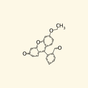 CCOc1ccc2c(-c3ccccc3C=O)c3ccc(=O)cc-3oc2c1